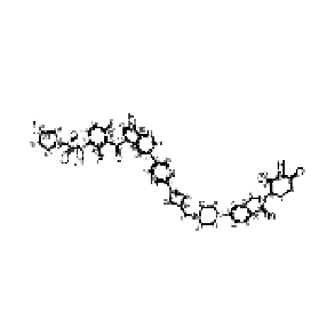 O=C1CCC(N2Cc3cc(N4CCN(CC5CN(c6ncc(-c7cnc8[nH]cc(C(=O)c9c(F)ccc(NS(=O)(=O)N%10CC[C@@H](F)C%10)c9F)c8c7)cn6)C5)CC4)ccc3C2=O)C(=O)N1